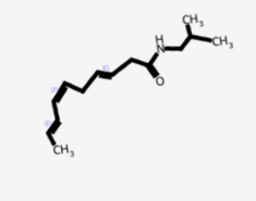 C/C=C/C=C\C/C=C/CC(=O)NCC(C)C